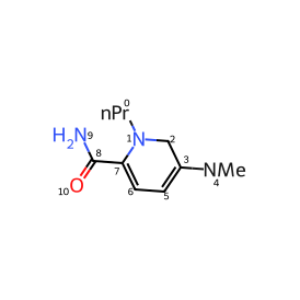 CCCN1CC(NC)=CC=C1C(N)=O